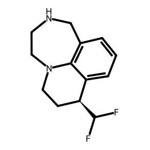 FC(F)[C@H]1CCN2CCNCc3cccc1c32